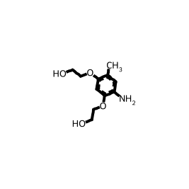 Cc1cc(N)c(OCCO)cc1OCCO